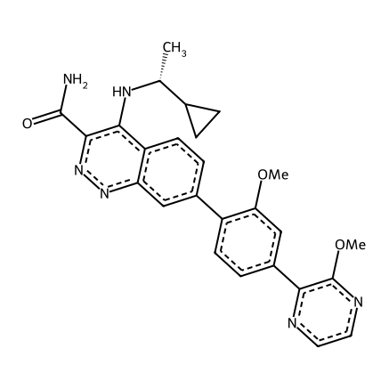 COc1cc(-c2nccnc2OC)ccc1-c1ccc2c(N[C@H](C)C3CC3)c(C(N)=O)nnc2c1